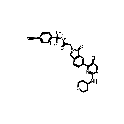 CC(C)(NC(=O)CN1Cc2ccc(-c3nc(NC4CCOCC4)ncc3Cl)cc2C1=O)c1ccc(C#N)cc1